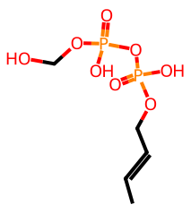 C/C=C/COP(=O)(O)OP(=O)(O)OCO